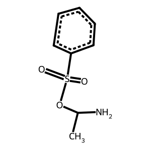 CC(N)OS(=O)(=O)c1ccccc1